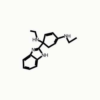 CCNC1=CCC(NCC)(c2nc3ccccc3[nH]2)C=C1